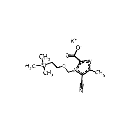 Cc1nc(C(=O)[O-])n(COCC[Si](C)(C)C)c1C#N.[K+]